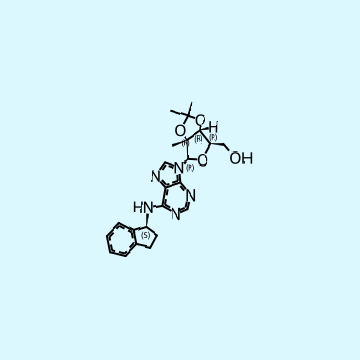 CC1(C)O[C@@H]2[C@@H](CO)O[C@@H](n3cnc4c(N[C@H]5CCc6ccccc65)ncnc43)[C@]2(C)O1